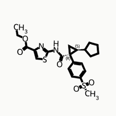 CCOC(=O)c1csc(NC(=O)[C@]2(c3ccc(S(C)(=O)=O)cc3)C[C@H]2C2CCCC2)n1